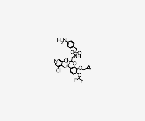 Nc1ccc(CS(=O)(=O)NCC(=O)O[C@@H](Cc2c(Cl)cncc2Cl)c2ccc(OC(F)F)c(OCC3CC3)c2)cc1